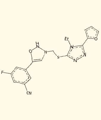 CCn1c(SCN2C=C(c3cc(F)cc(C#N)c3)ON2)nnc1-c1ccco1